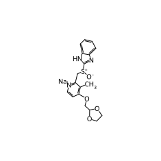 Cc1c(OCC2OCCO2)ccnc1C[S+]([O-])c1nc2ccccc2[nH]1.[Na]